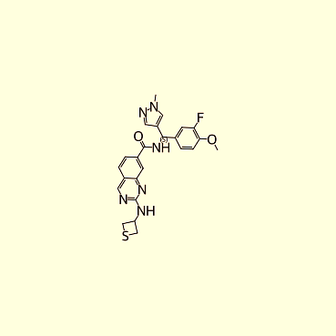 COc1ccc([C@H](NC(=O)c2ccc3cnc(NC4CSC4)nc3c2)c2cnn(C)c2)cc1F